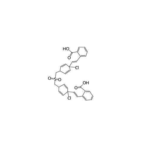 O=C(O)c1ccccc1/C=C/C1(Cl)C=CC(CS(=O)(=O)CC2C=CC(Cl)(/C=C/c3ccccc3C(=O)O)C=C2)C=C1